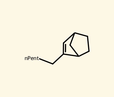 CCCCCCC1=CC2CCC1C2